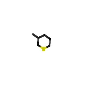 CC1CCCSC1